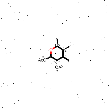 CC(=O)OC1O[C@@H](C)[C@@H](C)C(C)[C@@H]1OC(C)=O